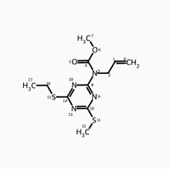 C=CCN(C(=O)OC)c1nc(SC)nc(SCC)n1